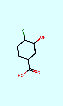 O=C(O)C1CCC(Cl)C(O)C1